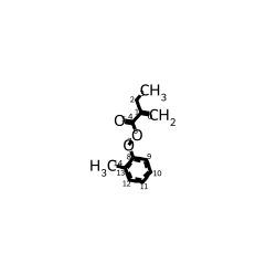 C=C(CC)C(=O)OOc1ccccc1C